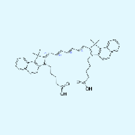 CC1(C)C(/C=C/C=C/C=C/C=C2\N(CCCCS(=O)O)c3ccc4ccccc4c3C2(C)C)=[N+](CCCCS(=O)O)c2ccc3ccccc3c21